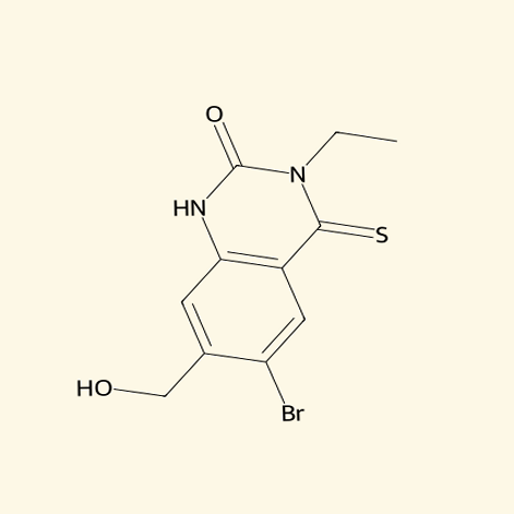 CCn1c(=O)[nH]c2cc(CO)c(Br)cc2c1=S